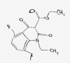 CCOC(=O)C1C(=O)c2c(F)ccc(F)c2N(CC)C1=O